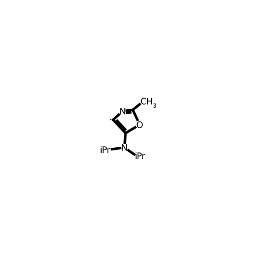 Cc1n[c]c(N(C(C)C)C(C)C)o1